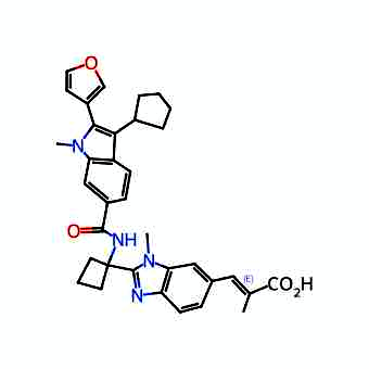 C/C(=C\c1ccc2nc(C3(NC(=O)c4ccc5c(C6CCCC6)c(-c6ccoc6)n(C)c5c4)CCC3)n(C)c2c1)C(=O)O